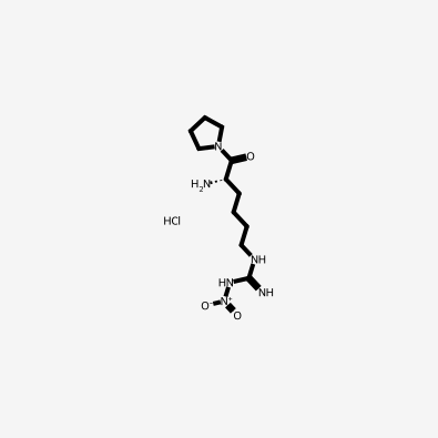 Cl.N=C(NCCCC[C@H](N)C(=O)N1CCCC1)N[N+](=O)[O-]